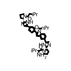 CCCC1Oc2cc(-c3cnc([C@@H]4CCCN4C(=O)CC(C)C)[nH]3)ccc2-c2cc3cc(-c4cnc([C@@H]5CCCN5C(=O)[C@@H](N)C(C)C)[nH]4)ccc3n21